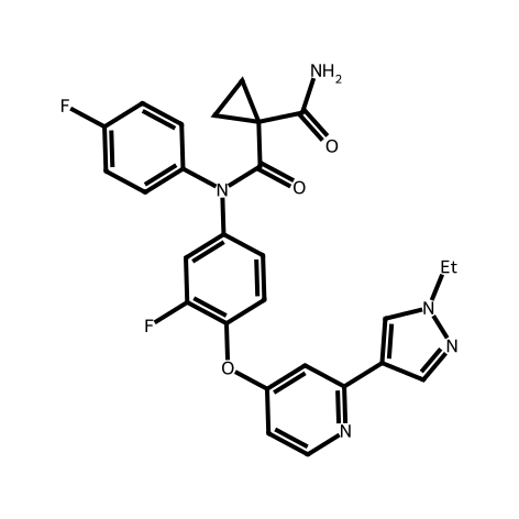 CCn1cc(-c2cc(Oc3ccc(N(C(=O)C4(C(N)=O)CC4)c4ccc(F)cc4)cc3F)ccn2)cn1